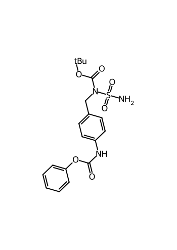 CC(C)(C)OC(=O)N(Cc1ccc(NC(=O)Oc2ccccc2)cc1)S(N)(=O)=O